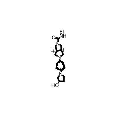 CCNC(=O)N1C[C@@H]2CN(c3ccc(N4CC[C@@H](O)C4)cc3)C[C@@H]2C1